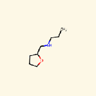 [CH2]CCNCC1CCCO1